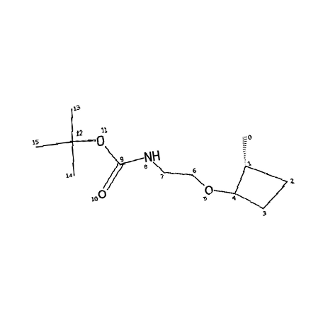 C[C@@H]1CCC1OCCNC(=O)OC(C)(C)C